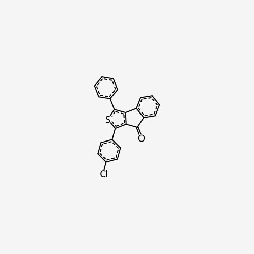 O=C1c2ccccc2-c2c(-c3ccccc3)sc(-c3ccc(Cl)cc3)c21